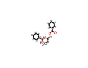 C=CC(COC(=O)c1ccccc1)OC(=O)c1ccccc1